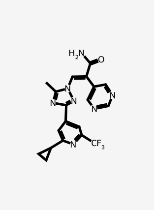 Cc1nc(-c2cc(C3CC3)nc(C(F)(F)F)c2)nn1/C=C(/C(N)=O)c1cncnc1